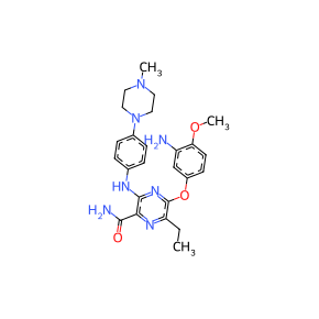 CCc1nc(C(N)=O)c(Nc2ccc(N3CCN(C)CC3)cc2)nc1Oc1ccc(OC)c(N)c1